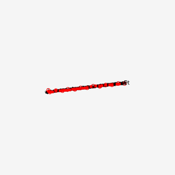 C=CC(=O)OCCCCOCCCCOCCCCOCCCCOCCCCOCCCCOCCCCOCCCCOCCCCOCCCCOCCCCOCCCCOCC